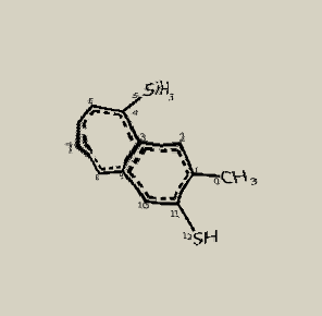 Cc1cc2c([SiH3])cccc2cc1S